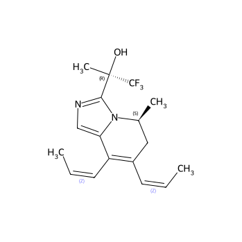 C/C=C\C1=C(/C=C\C)c2cnc([C@@](C)(O)C(F)(F)F)n2[C@@H](C)C1